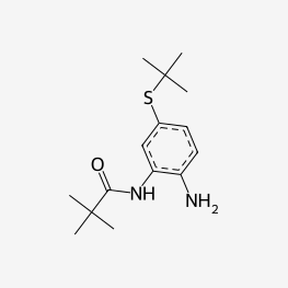 CC(C)(C)Sc1ccc(N)c(NC(=O)C(C)(C)C)c1